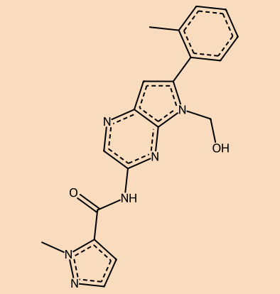 Cc1ccccc1-c1cc2ncc(NC(=O)c3ccnn3C)nc2n1CO